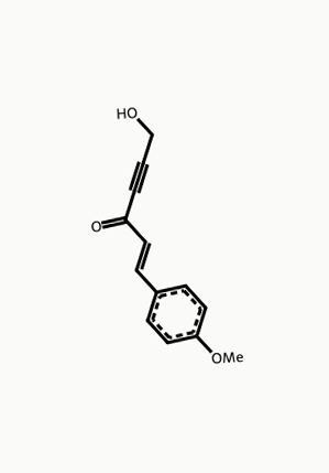 COc1ccc(/C=C/C(=O)C#CCO)cc1